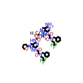 CC(C)(C)OC(=O)Nc1ncc(NC(=O)C(=O)N(CCC(F)(F)F)Cc2ccccc2)c2nn(C3CCCCO3)cc12.Nc1ncc(NC(=O)C(=O)N(CCC(F)(F)F)Cc2ccccc2)c2[nH]ncc12